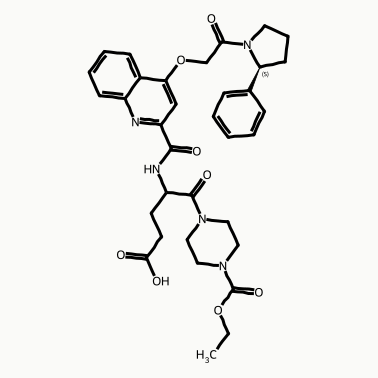 CCOC(=O)N1CCN(C(=O)C(CCC(=O)O)NC(=O)c2cc(OCC(=O)N3CCC[C@H]3c3ccccc3)c3ccccc3n2)CC1